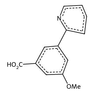 COc1cc(C(=O)O)cc(-c2ccccn2)c1